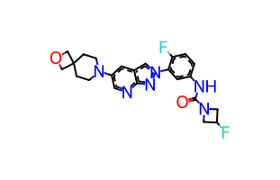 O=C(Nc1ccc(F)c(-n2cc3cc(N4CCC5(CC4)COC5)cnc3n2)c1)N1CC(F)C1